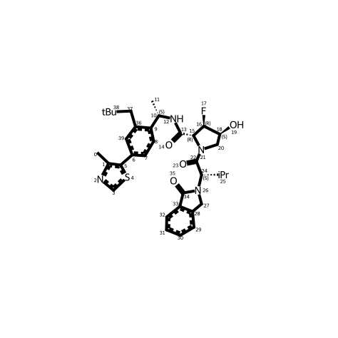 Cc1ncsc1-c1ccc([C@H](C)NC(=O)[C@@H]2[C@@H](F)[C@@H](O)CN2C(=O)[C@H](C(C)C)N2Cc3ccccc3C2=O)c(CC(C)(C)C)c1